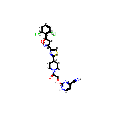 N#Cc1ccnc(OCC(=O)N2CCC(c3nc(C4=NOC(c5c(Cl)cccc5Cl)C4)cs3)CC2)n1